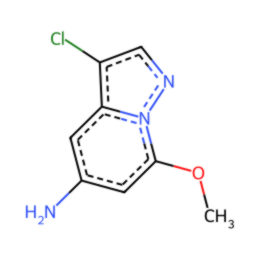 COc1cc(N)cc2c(Cl)cnn12